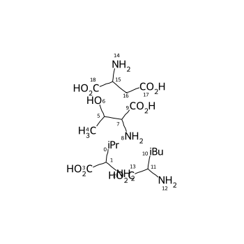 CC(C)C(N)C(=O)O.CC(O)C(N)C(=O)O.CCC(C)C(N)C(=O)O.NC(CC(=O)O)C(=O)O